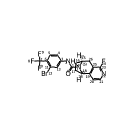 O=C(Nc1ccc(C(F)(F)F)c(Br)c1)N1[C@H]2CC[C@@H]1c1ccnc(F)c1C2